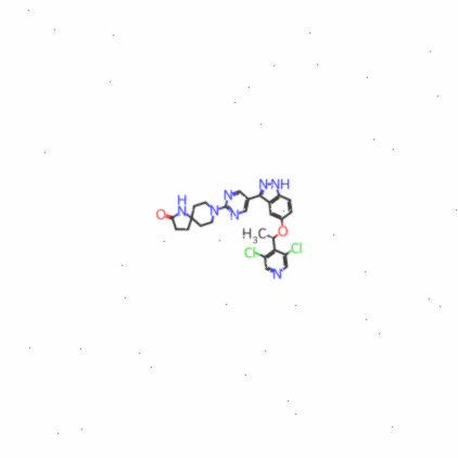 C[C@@H](Oc1ccc2[nH]nc(-c3cnc(N4CCC5(CCC(=O)N5)CC4)nc3)c2c1)c1c(Cl)cncc1Cl